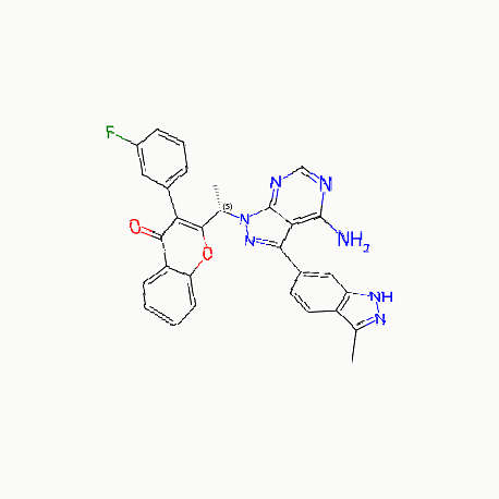 Cc1n[nH]c2cc(-c3nn([C@@H](C)c4oc5ccccc5c(=O)c4-c4cccc(F)c4)c4ncnc(N)c34)ccc12